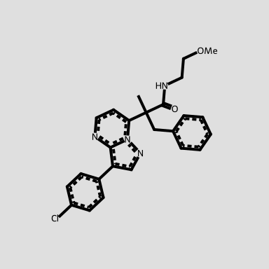 COCCNC(=O)C(C)(Cc1ccccc1)c1ccnc2c(-c3ccc(Cl)cc3)cnn12